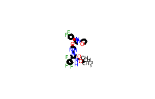 CC(C)(C)OC(=O)N[C@H]1CN(c2ncc(Oc3cn(C4CCCCO4)nc3C3=CCC(F)(F)CC3)cn2)C[C@@H]1c1cc(F)c(F)cc1F